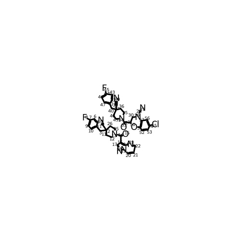 N#CC1(Cc2ccc(F)cc2)CCN(C(=O)c2cnn3cccnc23)CC1.N#CN1CC(C(=O)N2CCC(C#N)(Cc3ccc(F)cc3)CC2)Oc2ccc(Cl)cc21